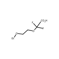 CCOCCOC(F)(F)C(=O)O